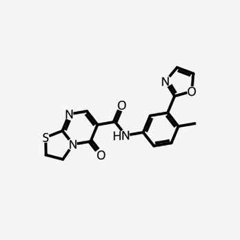 Cc1ccc(NC(=O)c2cnc3n(c2=O)CCS3)cc1-c1ncco1